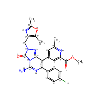 COC(=O)c1cc(-c2c(-c3ccc(F)cc3)nc(N)n3c(=O)n(Cc4nc(C)oc4C)nc23)cc(C)n1